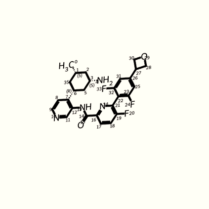 C[C@@H]1C[C@H](N)C[C@H](c2ccncc2NC(=O)c2ccc(F)c(-c3c(F)cc(C4COC4)cc3F)n2)C1